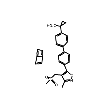 Cc1noc(-c2ccc(-c3ccc(C4(C(=O)O)CC4)cc3)cc2)c1CS(C)(=O)=O.c1cc2ccc1-2